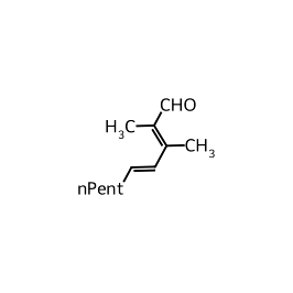 CCCCCC=CC(C)=C(C)C=O